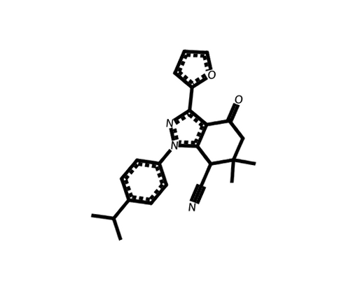 CC(C)c1ccc(-n2nc(-c3ccco3)c3c2C(C#N)C(C)(C)CC3=O)cc1